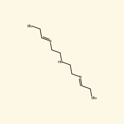 CC(C)(C)CC=NCCNCCN=CCC(C)(C)C